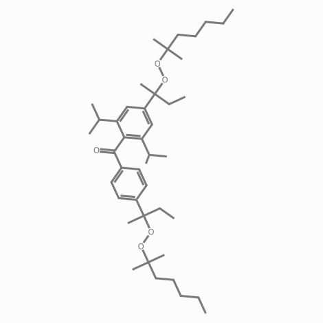 CCCCCC(C)(C)OOC(C)(CC)c1ccc(C(=O)c2c(C(C)C)cc(C(C)(CC)OOC(C)(C)CCCCC)cc2C(C)C)cc1